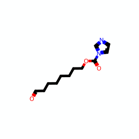 O=CCCCCCCCOC(=O)n1ccnc1